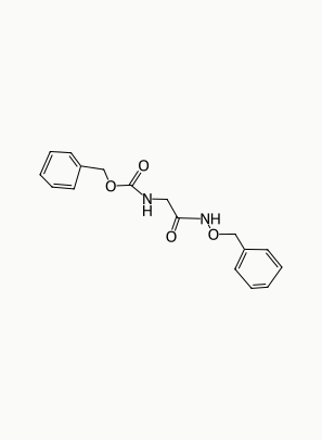 O=C(CNC(=O)OCc1ccccc1)NOCc1ccccc1